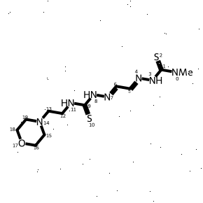 CNC(=S)N/N=C/C=N/NC(=S)NCCN1CCOCC1